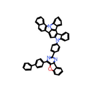 c1ccc(-c2ccc(-c3nc(-c4ccc(-n5c6ccccc6c6c7c8ccccc8n8c9c%10ccccc%10ccc9c(cc65)c78)cc4)nc4c3oc3ccccc34)cc2)cc1